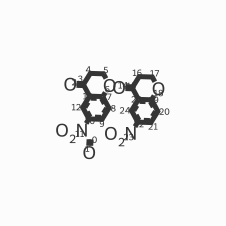 C=O.O=C1CCOc2ccc([N+](=O)[O-])cc21.O=C1CCOc2ccc([N+](=O)[O-])cc21